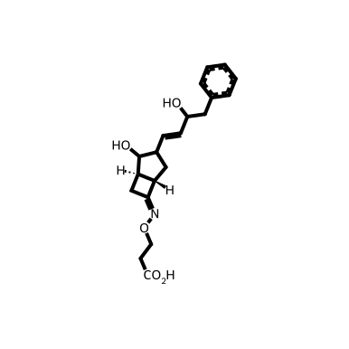 O=C(O)CCON=C1C[C@H]2C(O)C(C=CC(O)Cc3ccccc3)C[C@H]12